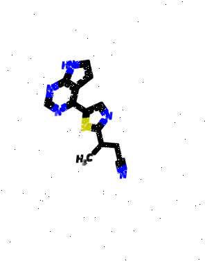 CC(CC#N)c1ncc(-c2ncnc3[nH]ccc23)s1